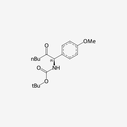 CCCCC(=O)[C@H](NC(=O)OC(C)(C)C)c1ccc(OC)cc1